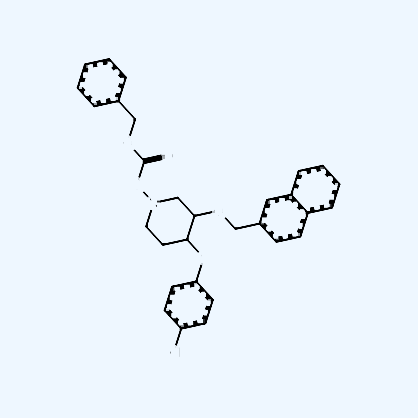 O=C(OCc1ccccc1)ON1CCC(Sc2ccc(Cl)cc2)C(OCc2ccc3ccccc3c2)C1